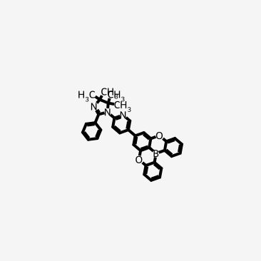 CC1(C)N=C(c2ccccc2)N(c2ccc(-c3cc4c5c(c3)Oc3ccccc3B5c3ccccc3O4)cn2)C1(C)C